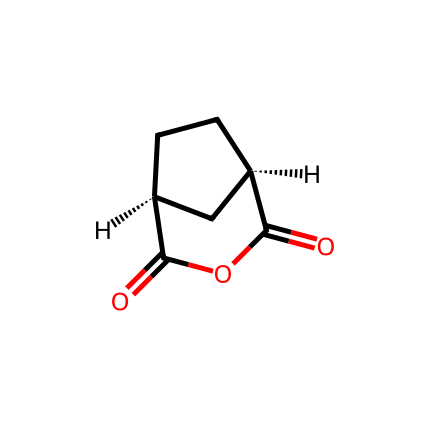 O=C1OC(=O)[C@H]2CC[C@@H]1C2